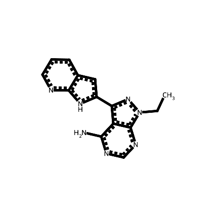 CCn1nc(-c2cc3cccnc3[nH]2)c2c(N)ncnc21